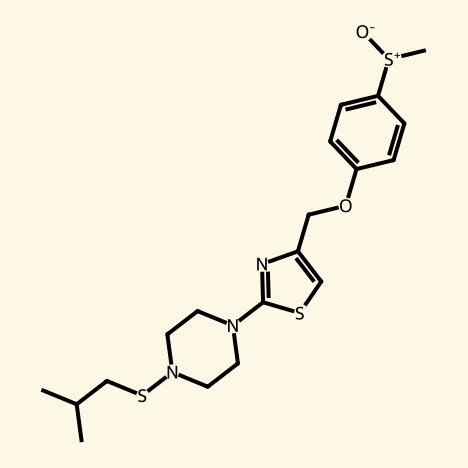 CC(C)CSN1CCN(c2nc(COc3ccc([S+](C)[O-])cc3)cs2)CC1